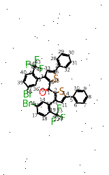 O=C(c1sc(-c2ccccc2)cc1-c1cc(Br)ccc1C(F)(F)F)c1sc(-c2ccccc2)cc1-c1cc(Br)ccc1C(F)(F)F